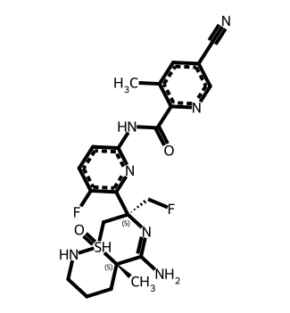 Cc1cc(C#N)cnc1C(=O)Nc1ccc(F)c([C@]2(CF)C[SH]3(=O)NCCC[C@@]3(C)C(N)=N2)n1